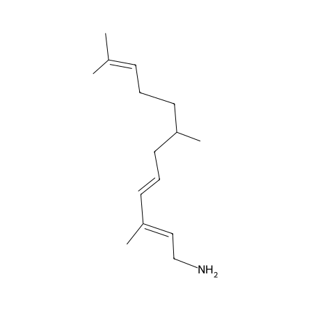 CC(C)=CCCC(C)CC=CC(C)=CCN